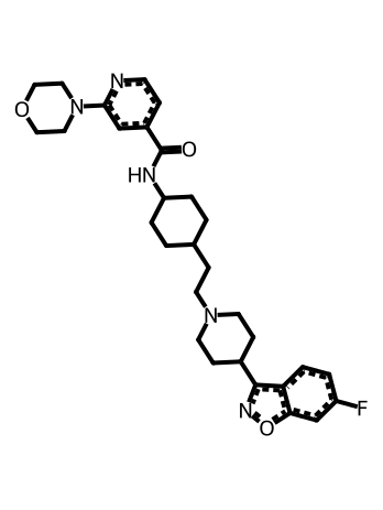 O=C(NC1CCC(CCN2CCC(c3noc4cc(F)ccc34)CC2)CC1)c1ccnc(N2CCOCC2)c1